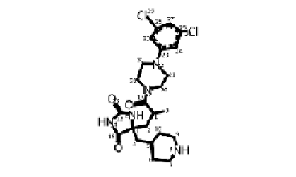 CC(CC1(CC2CCNCC2)NC(=O)NC1=O)C(=O)N1CCN(c2cc(Cl)cc(Cl)c2)CC1